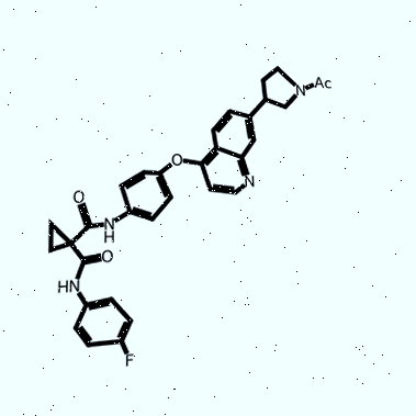 CC(=O)N1CCC(c2ccc3c(Oc4ccc(NC(=O)C5(C(=O)Nc6ccc(F)cc6)CC5)cc4)ccnc3c2)C1